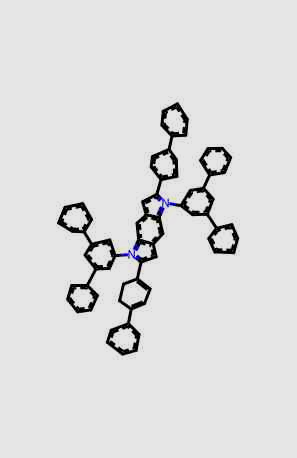 C1=C(c2ccccc2)CCC(c2cc3cc4c(cc(-c5ccc(-c6ccccc6)cc5)n4-c4cc(-c5ccccc5)cc(-c5ccccc5)c4)cc3n2-c2cc(-c3ccccc3)cc(-c3ccccc3)c2)=C1